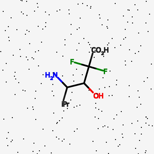 CC(C)C(N)C(O)C(F)(F)C(=O)O